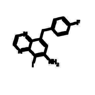 Nc1cc(Cc2ccc(F)cc2)c2nccnc2c1I